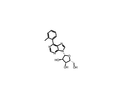 Cc1ccccc1-c1ncnc2c1ncn2[C@@H]1O[C@H](CO)[C@@H](O)[C@H]1O